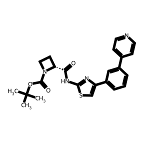 CC(C)(C)OC(=O)N1CC[C@@H]1C(=O)Nc1nc(-c2cccc(-c3ccncc3)c2)cs1